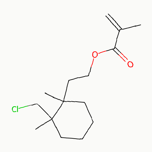 C=C(C)C(=O)OCCC1(C)CCCCC1(C)CCl